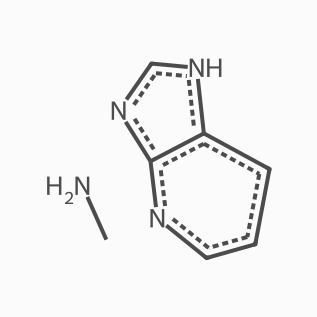 CN.c1cnc2nc[nH]c2c1